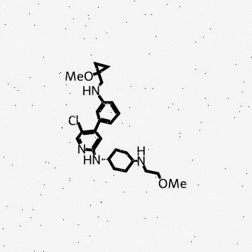 COCCN[C@H]1CC[C@H](Nc2cc(-c3cccc(NCC4(OC)CC4)c3)c(Cl)cn2)CC1